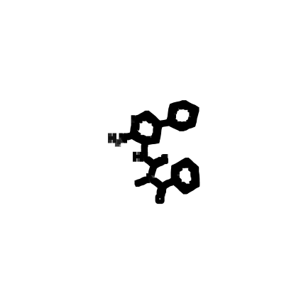 CN(C(=O)c1ccccc1)C(=S)Nc1cc(-c2ccccc2)cnc1N